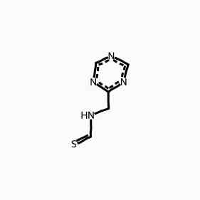 S=CNCc1ncncn1